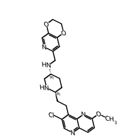 COc1ccc2ncc(Cl)c(CC[C@@H]3CC[C@@H](NCc4cc5c(cn4)OCCO5)CN3)c2n1